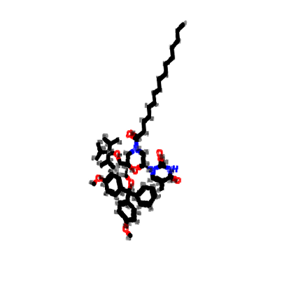 CCCCCCCCCCCCCCCC(=O)N1C[C@H](n2cc(C)c(=O)[nH]c2=O)O[C@@](COC(c2ccccc2)(c2ccc(OC)cc2)c2ccc(OC)cc2)(CO[Si](C(C)C)(C(C)C)C(C)C)C1